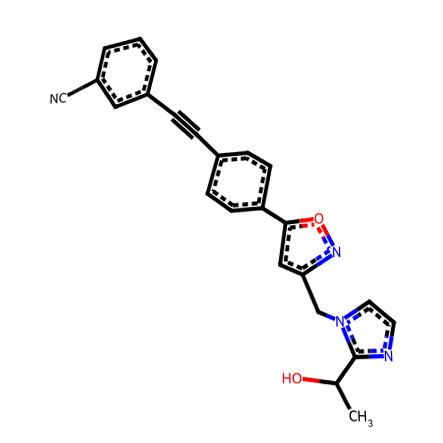 CC(O)c1nccn1Cc1cc(-c2ccc(C#Cc3cccc(C#N)c3)cc2)on1